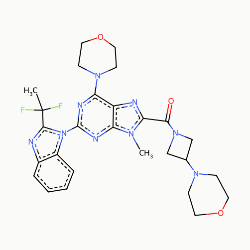 Cn1c(C(=O)N2CC(N3CCOCC3)C2)nc2c(N3CCOCC3)nc(-n3c(C(C)(F)F)nc4ccccc43)nc21